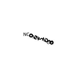 CC(C)(CCC(C)(C)N1CCC(O)(Cc2ccccc2)CC1)N1CCN(c2ccc(C#N)cc2)CC1